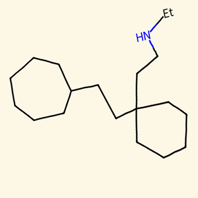 CCNCCC1(CCC2CCCCCC2)CCCCC1